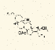 C=C[C@@H](C)C1CCC2C3C(CC[C@@]21C)[C@@]1(C)CC[C@@H](OC(C)=O)C[C@H]1C[C@H]3OC(C)=O